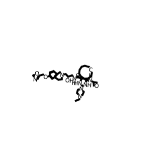 CCN1CCN(C2NC(NC3COC3)C3(CCCCCCCCCC3)C(C(=O)NC[C@H](O)CN3CCc4cc(OCc5cnco5)ccc4C3)N2)CC1